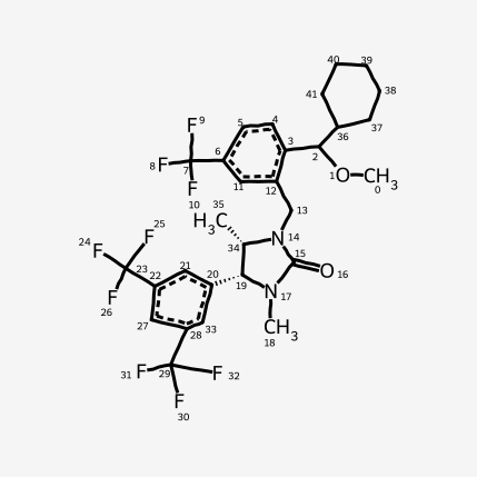 COC(c1ccc(C(F)(F)F)cc1CN1C(=O)N(C)[C@H](c2cc(C(F)(F)F)cc(C(F)(F)F)c2)[C@@H]1C)C1CCCCC1